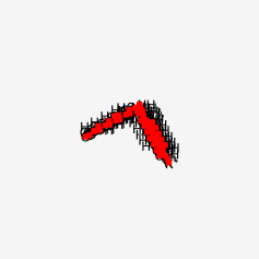 NCCN.NCCN.NCCN.O=P(O)(O)CP(=O)(O)O.O=P(O)(O)CP(=O)(O)O.O=P(O)(O)CP(=O)(O)O.O=P(O)(O)CP(=O)(O)O.O=P(O)(O)CP(=O)(O)O.O=P(O)(O)CP(=O)(O)O.O=P(O)(O)CP(=O)(O)O.O=P(O)(O)CP(=O)(O)O.O=P(O)(O)CP(=O)(O)O.O=P(O)(O)CP(=O)(O)O.O=P([O-])([O-])CP(=O)(O)O.O=P([O-])([O-])CP(=O)([O-])[O-].[K+].[K+].[K+].[K+].[K+].[K+]